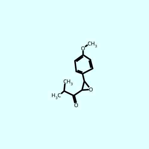 COc1ccc(C2OC2C(=O)C(C)C)cc1